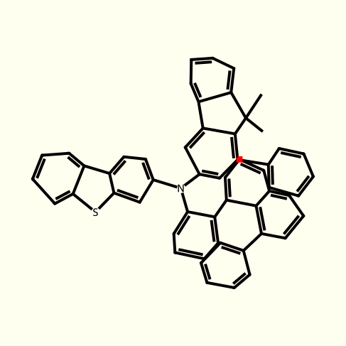 CC1(C)c2ccccc2-c2cc(N(c3ccc4c(c3)sc3ccccc34)c3ccccc3-c3cccc4cccc(-c5ccccc5)c34)cc(-c3ccccc3)c21